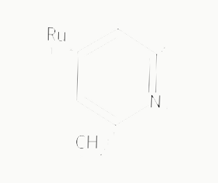 [CH2].[Ru].c1ccncc1